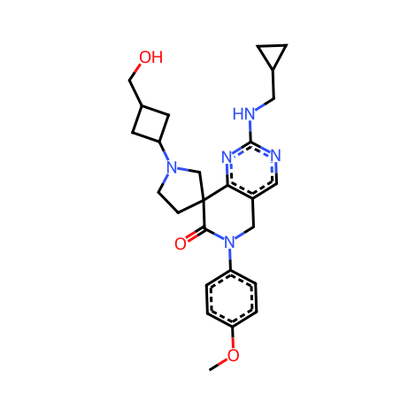 COc1ccc(N2Cc3cnc(NCC4CC4)nc3C3(CCN(C4CC(CO)C4)C3)C2=O)cc1